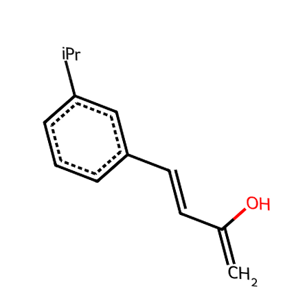 C=C(O)/C=C/c1cccc(C(C)C)c1